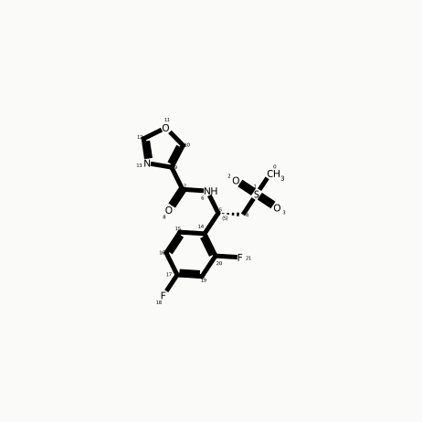 CS(=O)(=O)C[C@@H](NC(=O)c1cocn1)c1ccc(F)cc1F